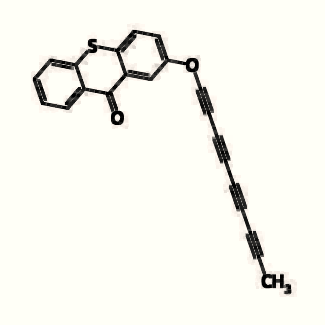 CC#CC#CC#CC#COc1ccc2sc3ccccc3c(=O)c2c1